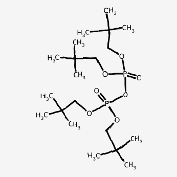 CC(C)(C)COP(=O)(OCC(C)(C)C)OP(=O)(OCC(C)(C)C)OCC(C)(C)C